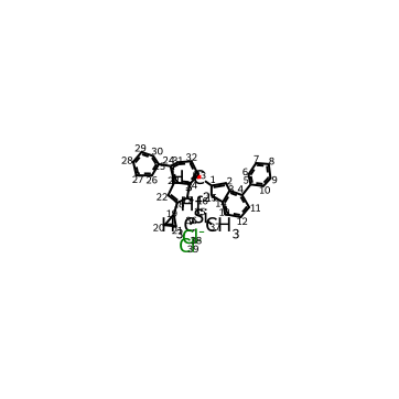 CC1=Cc2c(-c3ccccc3)cccc2[CH]1[Hf+2]([CH]1C(C2CC2)=Cc2c(-c3ccccc3)cccc21)=[Si](C)C.[Cl-].[Cl-]